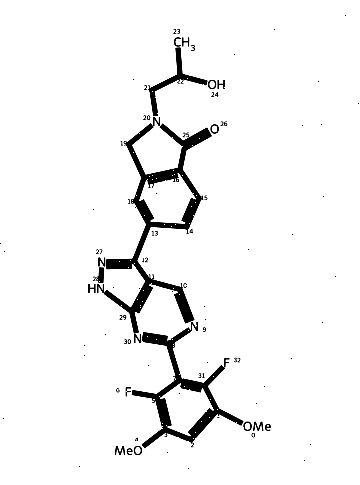 COc1cc(OC)c(F)c(-c2ncc3c(-c4ccc5c(c4)CN(CC(C)O)C5=O)n[nH]c3n2)c1F